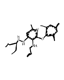 C=CCNc1c(NNC(CC)CC)cc(C)nc1Oc1c(C)cc(C)cc1C